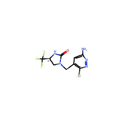 Nc1cc(CN2C[C@@H](C(F)(F)F)NC2=O)c(Cl)nn1